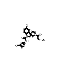 COCC(=O)N1CC[C@@]2(C1)CN(C(=O)Nc1ncc(Cl)s1)c1ccc(Cl)cc12